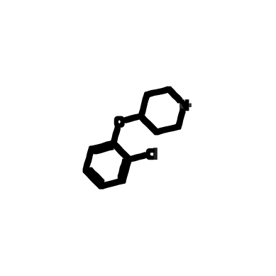 Clc1ccccc1OC1CC[N]CC1